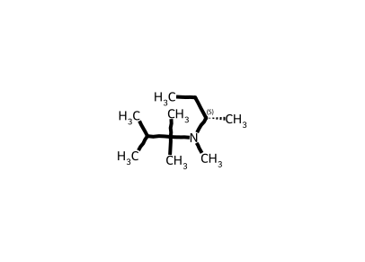 CC[C@H](C)N(C)C(C)(C)C(C)C